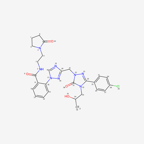 O=C(NCCN1CCCC1=O)c1ccccc1-n1cnc(Cn2nc(-c3ccc(Cl)cc3)n(CC(O)C(F)(F)F)c2=O)n1